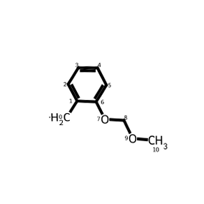 [CH2]c1ccccc1OCOC